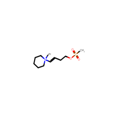 CC(C)[N+]1(/C=C/CCOS(C)(=O)=O)CCCCC1